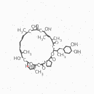 C/C1=C\[C@@H](C)C(=O)C[C@@H]([C@H](C)C[C@@H]2CC[C@@H](O)[C@H](O)C2)OC(=O)C2CCCN2C(=O)C[C@]2(O)O[C@@H](CC[C@H]2C)C[C@H](O)/C(C)=C/C=C/C=C/[C@@H](C)C[C@@H](C)C(=O)C[C@@H]1O